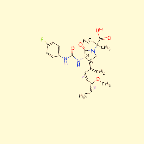 C=C(/C=C\C(=C/C)OC)[C@@H]1CN(C(C)(C)C(=O)O)C(=O)[C@H]1NC(=O)Nc1ccc(F)cc1